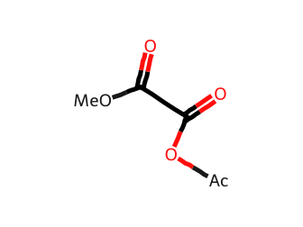 COC(=O)C(=O)OC(C)=O